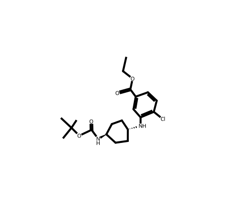 CCOC(=O)c1ccc(Cl)c(N[C@H]2CC[C@H](NC(=O)OC(C)(C)C)CC2)c1